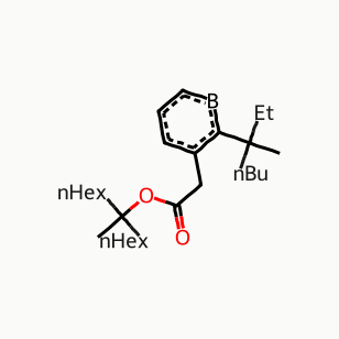 CCCCCCC(C)(CCCCCC)OC(=O)Cc1cccbc1C(C)(CC)CCCC